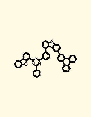 c1ccc(-c2nc(-c3cccc(-c4cccc5sc6ccc(-c7ccc8c9ccccc9c9ccccc9c8c7)cc6c45)c3)nc(-c3cccc4c3oc3ccccc34)n2)cc1